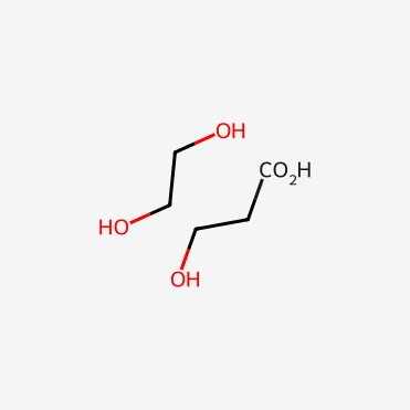 O=C(O)CCO.OCCO